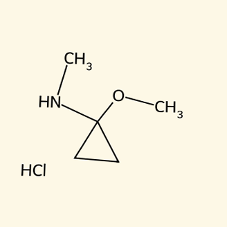 CNC1(OC)CC1.Cl